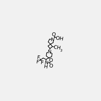 CC1C(N2CCC3(CC2)OC(=O)NC3CC(F)(F)F)CC12CCN(C(=O)O)C2